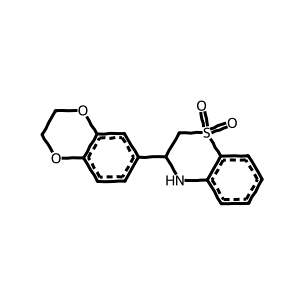 O=S1(=O)CC(c2ccc3c(c2)OCCO3)Nc2ccccc21